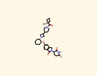 N#CC1(C(=O)N2CCC(C3CN([C@H]4CCCC[C@H]4Oc4ccc5c(c4)CN(C4CCC(=O)NC4=O)C5=O)C3)CC2)CCC1